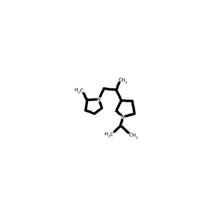 CC(CN1CCCC1C)C1CCN(C(C)C)C1